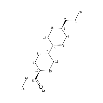 CCC[C@H]1CC[C@H]([C@H]2CC[C@H](C(=O)CC)CC2)CC1